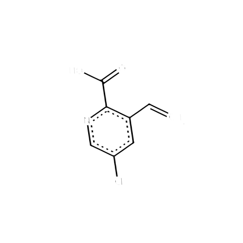 C=Cc1cc(Cl)cnc1C(=O)O